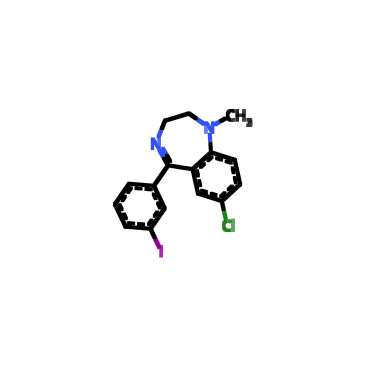 CN1CCN=C(c2cccc(I)c2)c2cc(Cl)ccc21